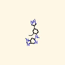 CCc1cc(-c2cnn(C)c2)ccc1N(C)c1cc2c(cn1)ncn2C